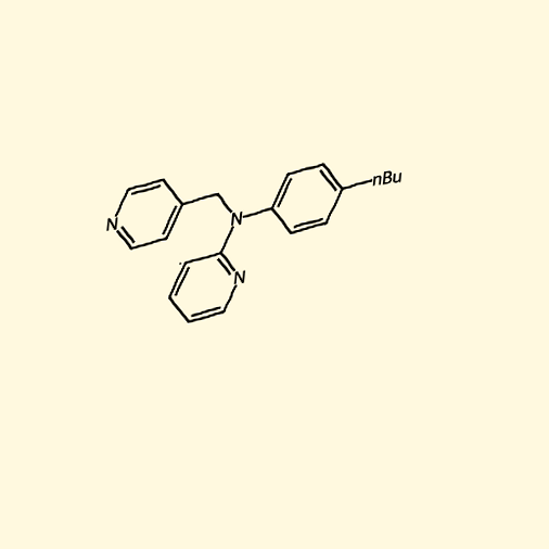 CCCCc1ccc(N(Cc2ccncc2)c2[c]cccn2)cc1